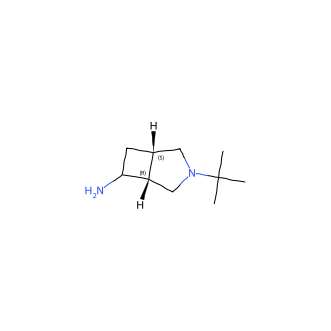 CC(C)(C)N1C[C@H]2CC(N)[C@H]2C1